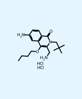 CCCCOc1c(CN)n(CC(C)(C)C)c(=O)c2ccc(N)cc12.Cl.Cl